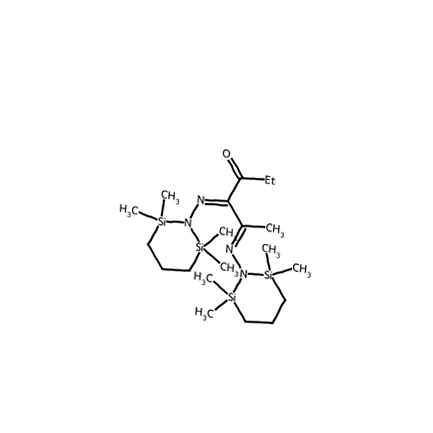 CCC(=O)C(=NN1[Si](C)(C)CCC[Si]1(C)C)C(C)=NN1[Si](C)(C)CCC[Si]1(C)C